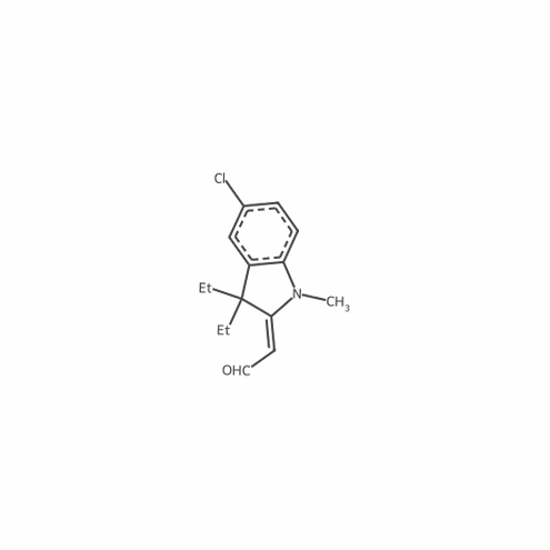 CCC1(CC)C(=CC=O)N(C)c2ccc(Cl)cc21